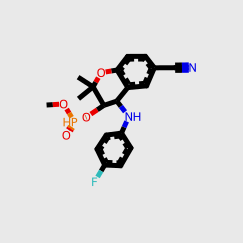 CO[PH](=O)OC1C(Nc2ccc(F)cc2)c2cc(C#N)ccc2OC1(C)C